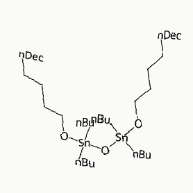 CCCCCCCCCCCCCC[O][Sn]([CH2]CCC)([CH2]CCC)[O][Sn]([CH2]CCC)([CH2]CCC)[O]CCCCCCCCCCCCCC